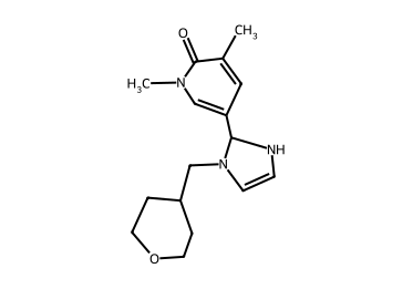 Cc1cc(C2NC=CN2CC2CCOCC2)cn(C)c1=O